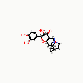 O=c1c(O)c(-c2ccc(O)c(O)c2)oc2cc(C34CCNC5C3C54)ccc12